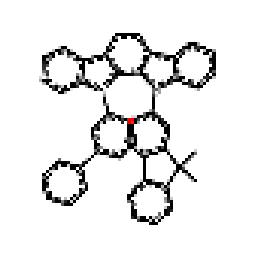 CC1(C)c2ccccc2-c2ccc(-n3c4ccccc4c4ccc5c6ccccc6n(-c6cccc(-c7ccccc7)c6)c5c43)cc21